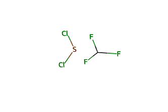 ClSCl.FC(F)F